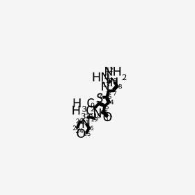 CC1(C)c2sc(-c3ccnc(NN)n3)cc2C(=O)N1CCN1CCOCC1